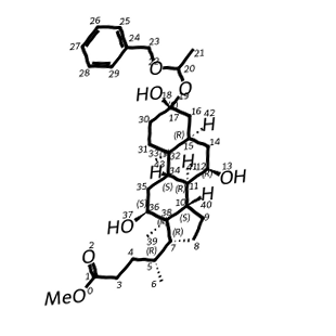 COC(=O)CC[C@@H](C)[C@H]1CC[C@H]2[C@@H]3[C@H](O)C[C@@H]4C[C@@](O)(OC(C)OCc5ccccc5)CC[C@]4(C)[C@H]3C[C@H](O)[C@]12C